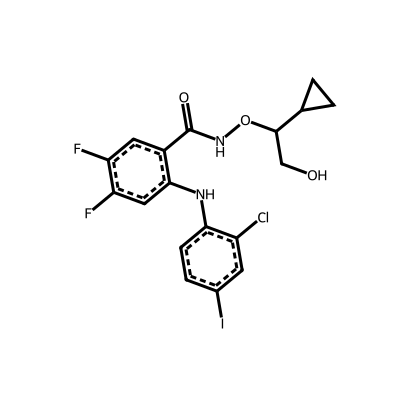 O=C(NOC(CO)C1CC1)c1cc(F)c(F)cc1Nc1ccc(I)cc1Cl